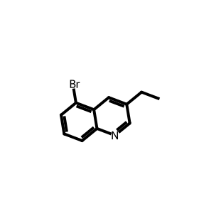 CCc1cnc2cccc(Br)c2c1